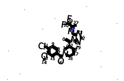 C=C([C@@H]1CN(C(=O)c2ccc(Cl)c(OC)c2)CC[C@H]1C)n1ncnc1/N=C(\C)C(F)F